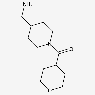 NCC1CCN(C(=O)C2CCOCC2)CC1